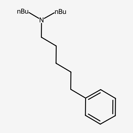 CCCCN(CCCC)CCCCCc1ccccc1